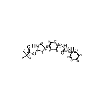 CC(C)(C)C(=O)OC1CC(c2ccc(NC(=O)Nc3ccccc3)cc2)CN1